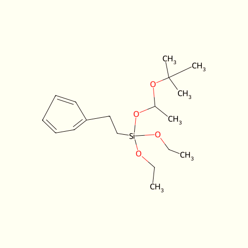 CCO[Si](CCc1ccccc1)(OCC)OC(C)OC(C)(C)C